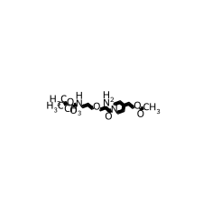 CC(=O)OCCC1CCN(C(=O)C(N)COCCCNC(=O)OC(C)(C)C)CC1